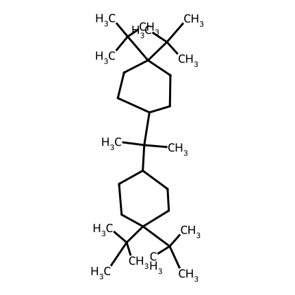 CC(C)(C1CCC(C(C)(C)C)(C(C)(C)C)CC1)C1CCC(C(C)(C)C)(C(C)(C)C)CC1